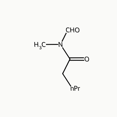 CCCCC(=O)N(C)C=O